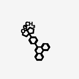 COC12CCCC1(c1ccc(-c3cc4ccccc4c4ccccc34)cc1)CCO2